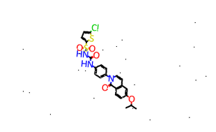 CC(C)Oc1ccc2c(=O)n(-c3ccc(NC(=O)NS(=O)(=O)c4ccc(Cl)s4)cc3)ccc2c1